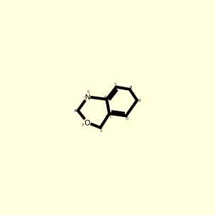 C1=C2COC[N]C2=CCC1